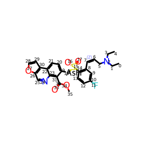 CCN(CC)C/C=C\c1cc(F)ccc1S(=O)(=O)[AsH]c1ccc2c(ncc3occc32)c1C(=O)OC